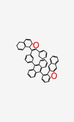 C1=CCCC(C2=C(c3cccc(-c4c5ccccc5c(-c5cccc6oc7cc8ccccc8cc7c56)c5ccccc45)c3)C3C4=C(C=CC3O2)CCC=C4)=C1